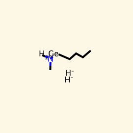 CCC[CH2][GeH2][N](C)C.[H-].[H-]